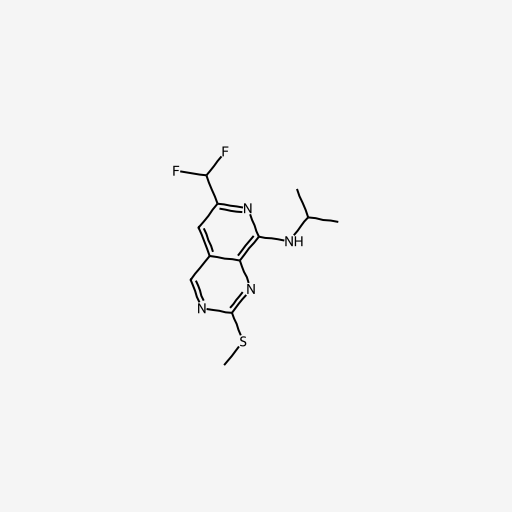 CSc1ncc2cc(C(F)F)nc(NC(C)C)c2n1